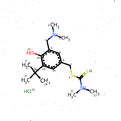 CN(C)Cc1cc(CSC(=S)N(C)C)cc(C(C)(C)C)c1O.Cl